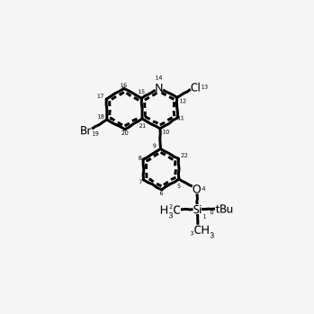 CC(C)(C)[Si](C)(C)Oc1cccc(-c2cc(Cl)nc3ccc(Br)cc23)c1